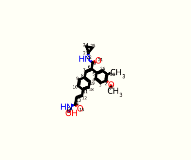 COc1ccc(/C(=C\c2ccc(/C=C/C(=O)NO)cc2)C(=O)NC2CC2)cc1C